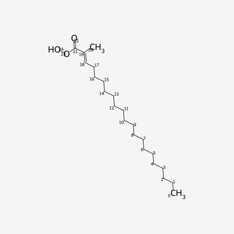 CCCCCCCCCCCCCCCCCC/C=C(\C)C(=O)OO